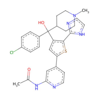 CC(=O)Nc1cc(-c2cc(C(O)(c3ccc(Cl)cc3)C3CCN(C)CC3)c(-c3ncc[nH]3)s2)ccn1